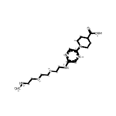 COC(=O)C1CCN(c2cnc(NCCOCCOCCNC=O)cn2)CC1